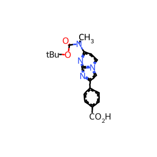 CN(C(=O)OC(C)(C)C)c1ccn2cc(-c3ccc(C(=O)O)cc3)nc2n1